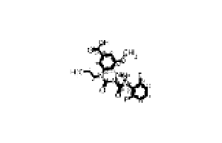 CCCN(C(=O)n1nnn(-c2c(F)cccc2F)c1=O)c1cc(OC)cc(C(=O)O)c1